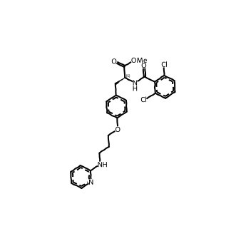 COC(=O)[C@H](Cc1ccc(OCCCNc2ccccn2)cc1)NC(=O)c1c(Cl)cccc1Cl